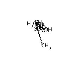 CCCCCCCCCCCCCC(=O)C(C[N+](C)(C)C)OP(=O)([O-])OC[C@H](O)CO